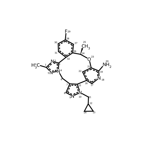 Cc1nc2n(n1)Cc1cnn(CC3CC3)c1-c1cnc(N)c(c1)O[C@H](C)c1cc(F)ccc1-2